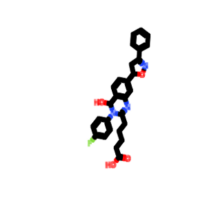 O=C(O)CCCCC1=Nc2cc(C3CC(c4ccccc4)=NO3)ccc2C(O)N1c1ccc(F)cc1